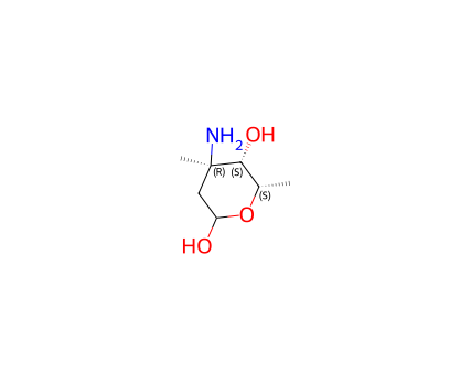 C[C@@H]1OC(O)C[C@@](C)(N)[C@@H]1O